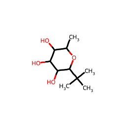 CC1OC(C(C)(C)C)C(O)C(O)C1O